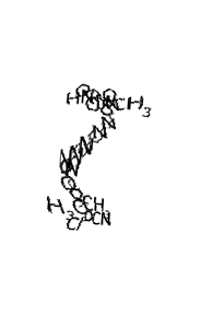 Cn1c(=O)n(C2CCC(=O)NC2=O)c2ccc(CN3CC(N4CCC(N5CCN(c6nccc(COc7ccc(C(C)(C)c8cc(Cl)cc(C#N)c8)cc7)n6)CC5)CC4)C3)cc21